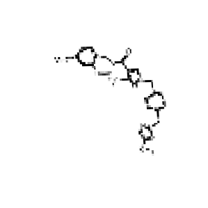 COc1ccc(CNC(=O)c2cn(Cc3ccc(Cn4cc(C)cn4)cc3)nc2C(F)(F)F)c(OC)c1